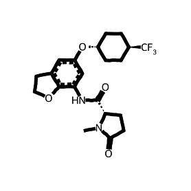 CN1C(=O)CC[C@H]1C(=O)Nc1cc(O[C@H]2CC[C@H](C(F)(F)F)CC2)cc2c1OCC2